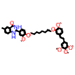 COc1cc(C2NC(=O)c3cc(C)ccc3N2)ccc1OCCCCCCCCOc1cc(/C=C/c2cc(OC)c(OC)c(OC)c2)ccc1OC